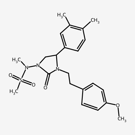 COc1ccc(CCN2C(=O)N(N(C)S(C)(=O)=O)CC2c2ccc(C)c(C)c2)cc1